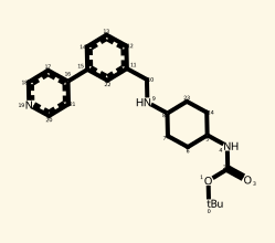 CC(C)(C)OC(=O)NC1CCC(NCc2cccc(-c3ccncc3)c2)CC1